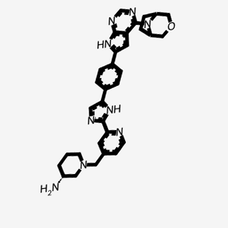 N[C@@H]1CCCN(Cc2ccnc(-c3ncc(-c4ccc(-c5cc6c(N7C8CCC7COC8)ncnc6[nH]5)cc4)[nH]3)c2)C1